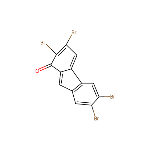 O=C1C2=Cc3cc(Br)c(Br)cc3C2=CC(Br)=C1Br